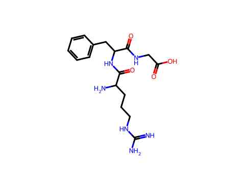 N=C(N)NCCCC(N)C(=O)NC(Cc1ccccc1)C(=O)NCC(=O)O